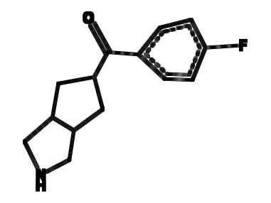 O=C(c1ccc(F)cc1)C1CC2CNCC2C1